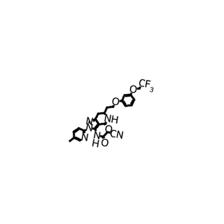 Cc1ccc(-n2nc3c(c2NC(=O)CC#N)C(=O)NC(CCOc2cccc(OCC(F)(F)F)c2)C3)nc1